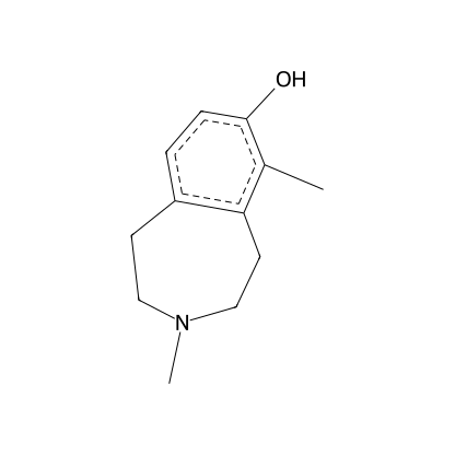 Cc1c(O)ccc2c1CCN(C)CC2